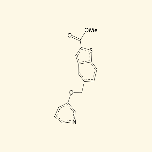 COC(=O)c1cc2cc(COc3cccnc3)ccc2s1